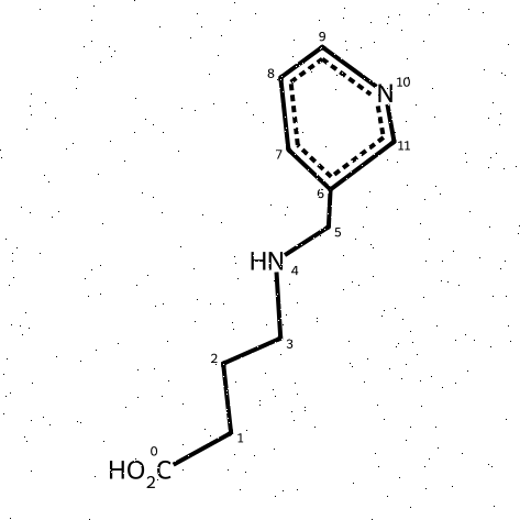 O=C(O)CCCNCc1cccnc1